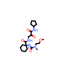 COCCN(C)C(=O)NC1(C(=O)NCC(=O)C(=O)NC2CCCC2)CCCCC1